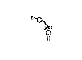 O=S(=O)(CC=Cc1ccc(Br)cc1)C1CCNCC1